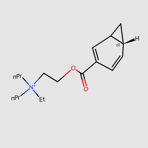 CCC[N+](CC)(CCC)CCOC(=O)C1=CC2C[C@@H]2C=C1